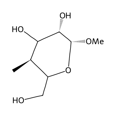 CO[C@@H]1OC(CO)[C@@H](C)C(O)[C@@H]1O